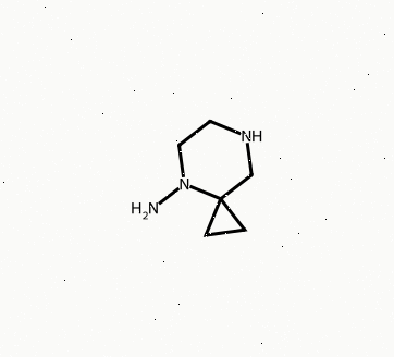 NN1CCNCC12CC2